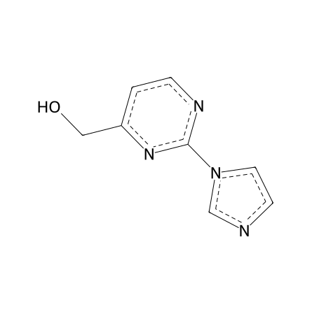 OCc1ccnc(-n2ccnc2)n1